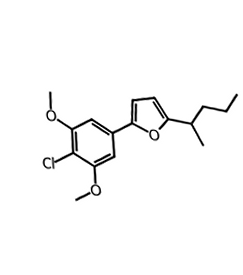 CCCC(C)c1ccc(-c2cc(OC)c(Cl)c(OC)c2)o1